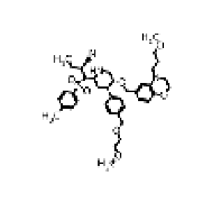 CCC(C#N)C([C@@H]1C[C@H](c2ccc(COCCOC)cc2)[C@@H](OCc2ccc3c(c2)N(CCCOC)CCO3)CN1)S(=O)(=O)c1ccc(C)cc1